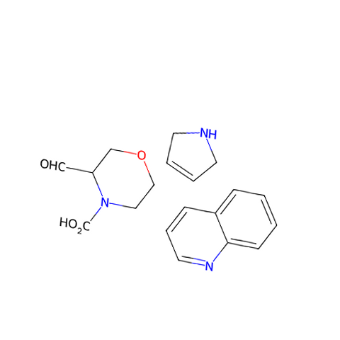 C1=CCNC1.O=CC1COCCN1C(=O)O.c1ccc2ncccc2c1